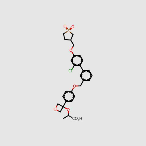 CC(OC1(c2ccc(OCc3cccc(-c4ccc(OCC5CCS(=O)(=O)C5)cc4Cl)c3)cc2)COC1)C(=O)O